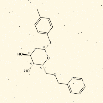 Cc1ccc(S[C@H]2[CH][C@H](O)[C@@H](O)[C@@H](COCc3ccccc3)O2)cc1